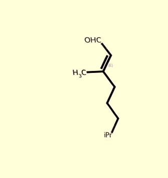 C/C(=C\C=O)CCCC(C)C